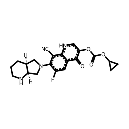 N#Cc1c(N2C[C@@H]3CCCN[C@@H]3C2)c(F)cc2c(=O)c(OC(=O)OC3CC3)c[nH]c12